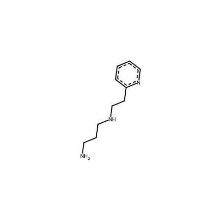 NCCCNCCc1ccccn1